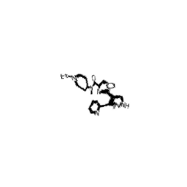 CCN1CCC(N(C)C(=O)c2coc(-c3c[nH]nc3-c3ccccn3)n2)CC1